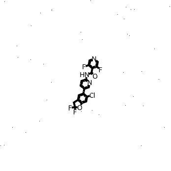 O=C(Nc1ccc(-c2cc3c(cc2Cl)OC(F)(F)C3)cn1)c1c(F)cncc1F